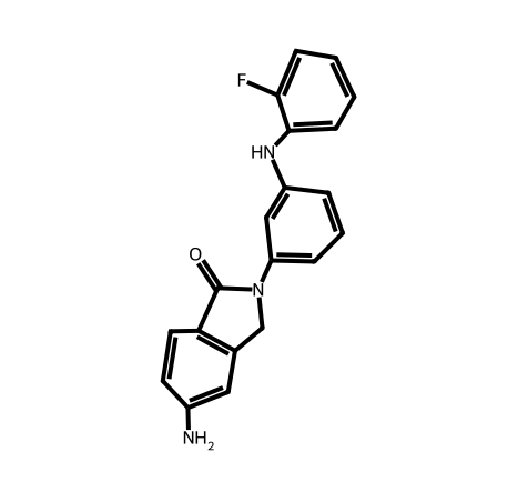 Nc1ccc2c(c1)CN(c1cccc(Nc3ccccc3F)c1)C2=O